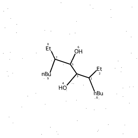 CCCCC(CC)C(O)C(O)C(CC)CCCC